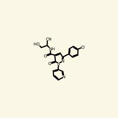 N#CC(CO)NC(=O)c1cc(-c2ccc(Cl)cc2)nn(-c2cccnc2)c1=O